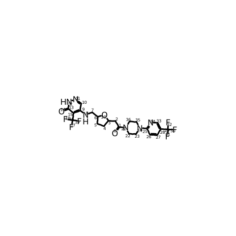 O=C(CC1CCC(CNc2cn[nH]c(=O)c2C(F)(F)F)O1)N1CCN(c2ccc(C(F)(F)F)cn2)CC1